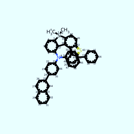 C[Si]1(C)c2cccc(N(c3ccc(-c4ccccc4)cc3)c3ccc(-c4ccc5ccccc5c4)cc3)c2-c2c1ccc1sc3ccccc3c21